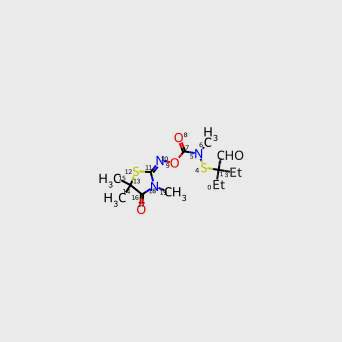 CCC(C=O)(CC)SN(C)C(=O)ON=C1SC(C)(C)C(=O)N1C